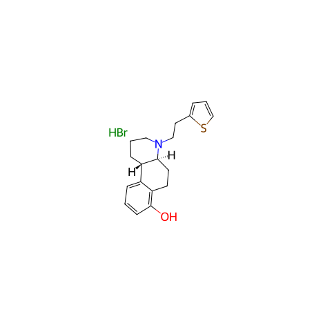 Br.Oc1cccc2c1CC[C@H]1[C@H]2CCCN1CCc1cccs1